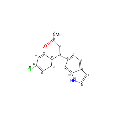 CNC(=O)CC(c1ccc2cc[nH]c2c1)C1C=CC(Cl)=CC1